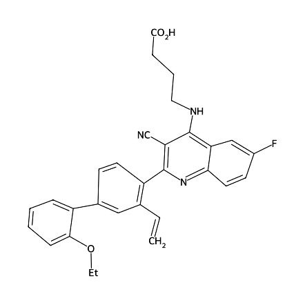 C=Cc1cc(-c2ccccc2OCC)ccc1-c1nc2ccc(F)cc2c(NCCCC(=O)O)c1C#N